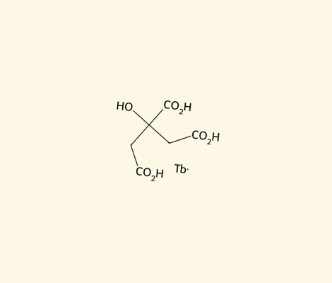 O=C(O)CC(O)(CC(=O)O)C(=O)O.[Tb]